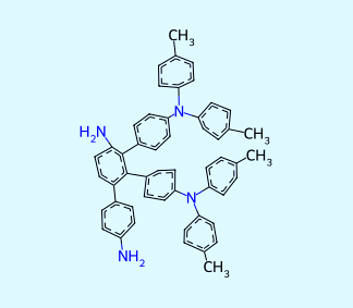 Cc1ccc(N(c2ccc(C)cc2)c2ccc(-c3c(N)ccc(-c4ccc(N)cc4)c3-c3ccc(N(c4ccc(C)cc4)c4ccc(C)cc4)cc3)cc2)cc1